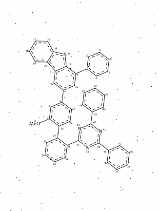 COc1cc(-c2cc(-c3ccccc3)c3sc4ccccc4c3c2)ccc1-c1ccccc1-c1nc(-c2ccccc2)nc(-c2ccccc2)n1